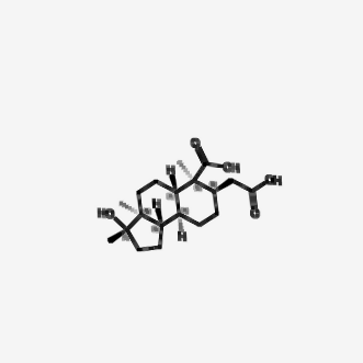 C[C@]1(C(=O)O)[C@@H](CC(=O)O)CC[C@@H]2[C@@H]1CC[C@@]1(C)[C@H]2CC[C@]1(C)O